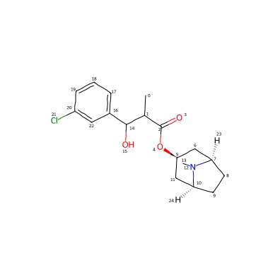 CC(C(=O)O[C@H]1C[C@H]2CC[C@@H](C1)N2C)C(O)c1cccc(Cl)c1